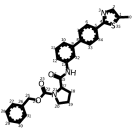 Cc1cnc(-c2ccc(-c3cccc(NC(=O)C4CCCN4C(=O)OCc4ccccc4)c3)cc2)s1